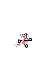 COc1cccc(CN(CC(O)C(Cc2ccccc2)NC(=O)OC(C)(C)C)C(=O)OCc2ccccc2)c1